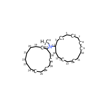 CN(C1CCCCCCCCCCCCCC1)C1CCCCCCCCCCCCC1